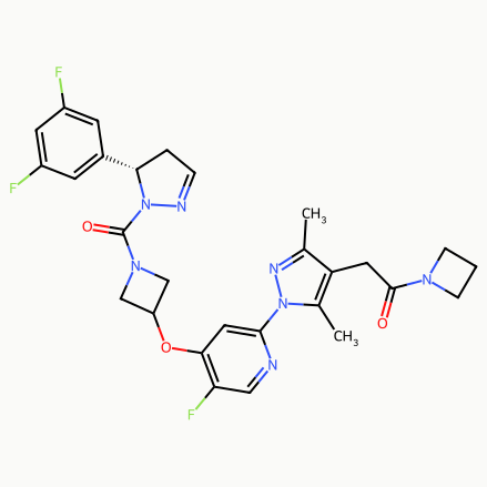 Cc1nn(-c2cc(OC3CN(C(=O)N4N=CC[C@H]4c4cc(F)cc(F)c4)C3)c(F)cn2)c(C)c1CC(=O)N1CCC1